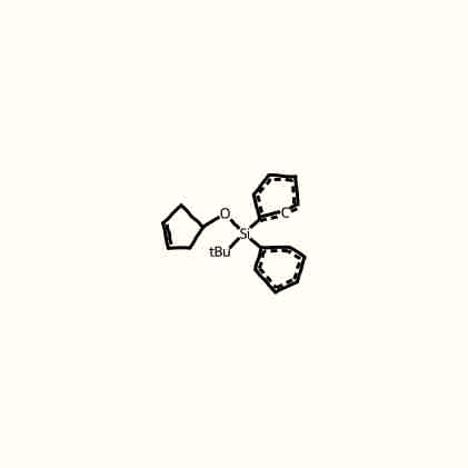 CC(C)(C)[Si](OC1CC=CC1)(c1ccccc1)c1ccccc1